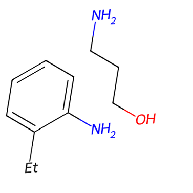 CCc1ccccc1N.NCCCO